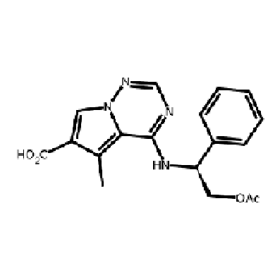 CC(=O)OC[C@@H](Nc1ncnn2cc(C(=O)O)c(C)c12)c1ccccc1